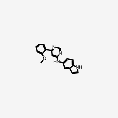 COc1ccccc1-c1cc(Nc2ccc3[nH]ccc3c2)ncn1